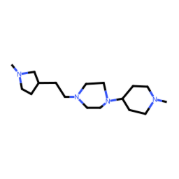 CN1CCC(N2CCN(CCC3CCN(C)C3)CC2)CC1